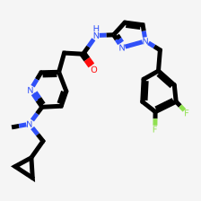 CN(CC1CC1)c1ccc(CC(=O)Nc2ccn(Cc3ccc(F)c(F)c3)n2)cn1